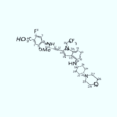 COc1cc(C(=O)O)c(F)cc1NCC#Cc1cc2c(N[C@H]3CC[C@@H](N4CCOCC4)CC3)cccc2n1CC(F)(F)F